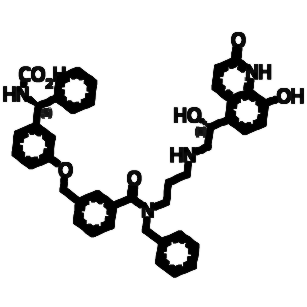 O=C(O)N[C@@H](c1ccccc1)c1cccc(OCc2cccc(C(=O)N(CCCNC[C@H](O)c3ccc(O)c4[nH]c(=O)ccc34)Cc3ccccc3)c2)c1